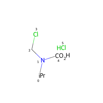 CC(C)N(CCl)C(=O)O.Cl